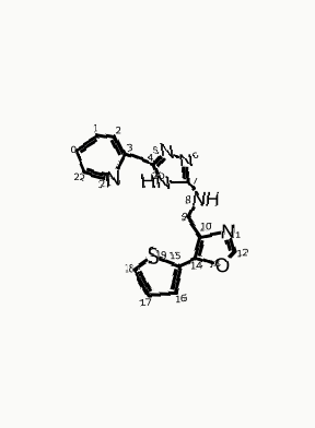 c1ccc(-c2nnc(NCc3ncoc3-c3cccs3)[nH]2)nc1